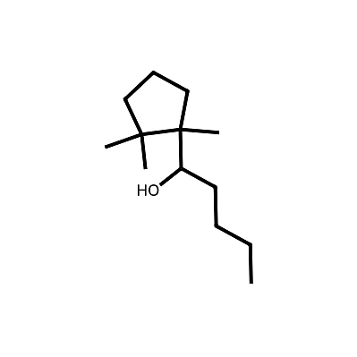 CCCCC(O)C1(C)CCCC1(C)C